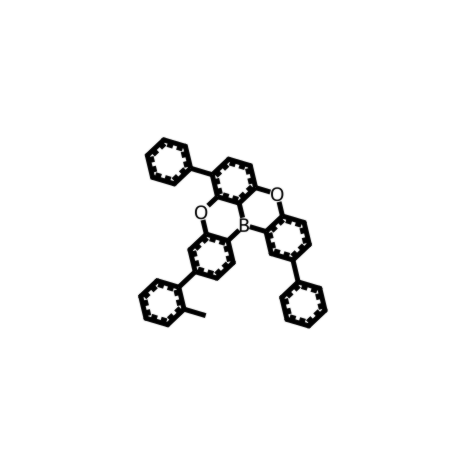 Cc1ccccc1-c1ccc2c(c1)Oc1c(-c3ccccc3)ccc3c1B2c1cc(-c2ccccc2)ccc1O3